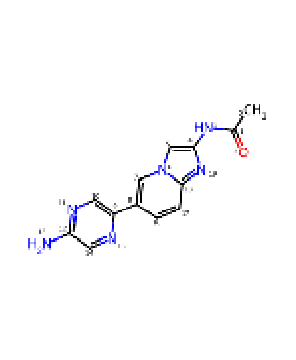 CC(=O)Nc1cn2cc(-c3cnc(N)cn3)ccc2n1